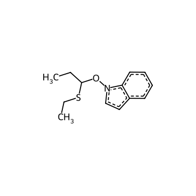 CCSC(CC)On1ccc2ccccc21